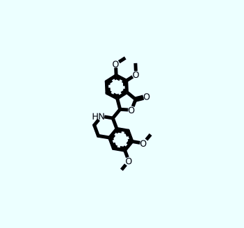 COc1cc2c(cc1OC)C(C1OC(=O)c3c1ccc(OC)c3OC)NCC2